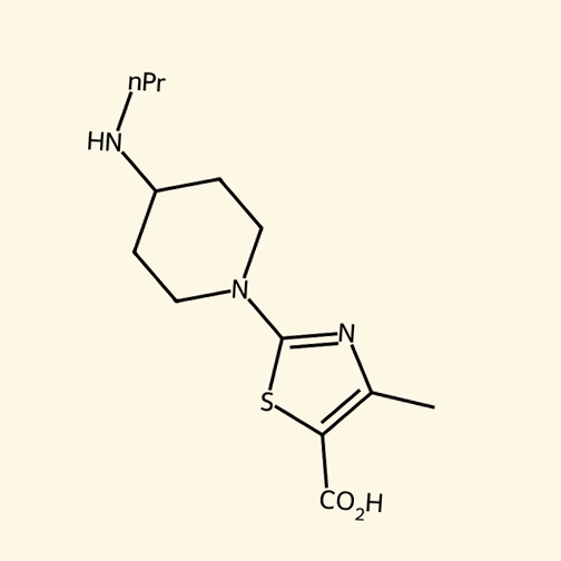 CCCNC1CCN(c2nc(C)c(C(=O)O)s2)CC1